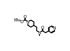 CN(CCC1CCN(C(=O)OC(C)(C)C)CC1)C(=O)Cc1ccncc1